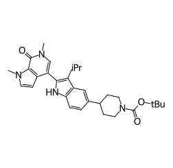 CC(C)c1c(-c2cn(C)c(=O)c3c2ccn3C)[nH]c2ccc(C3CCN(C(=O)OC(C)(C)C)CC3)cc12